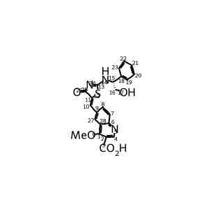 COc1c(C(=O)O)cnc2ccc(/C=C3\SC(N[C@@H](CO)c4ccccc4)=NC3=O)cc12